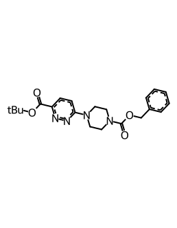 CC(C)(C)OC(=O)c1ccc(N2CCN(C(=O)OCc3ccccc3)CC2)nn1